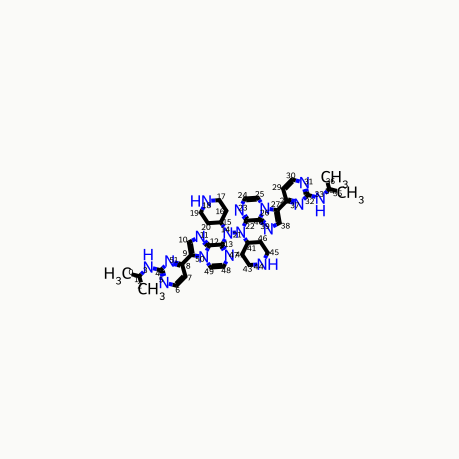 CC(C)Nc1nccc(-c2cnc3c(N(C4CCNCC4)N(c4nccn5c(-c6ccnc(NC(C)C)n6)cnc45)C4CCNCC4)nccn23)n1